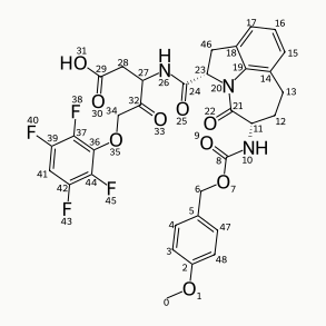 COc1ccc(COC(=O)N[C@H]2CCc3cccc4c3N(C2=O)[C@H](C(=O)NC(CC(=O)O)C(=O)COc2c(F)c(F)cc(F)c2F)C4)cc1